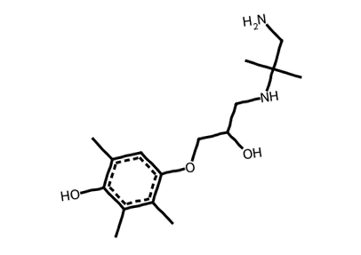 Cc1cc(OCC(O)CNC(C)(C)CN)c(C)c(C)c1O